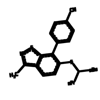 CCCCC(CCC)Sc1ccc2c(C)nsc2c1-c1ccc(C#N)cc1